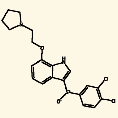 [O-][S+](c1ccc(Cl)c(Cl)c1)c1c[nH]c2c(OCCN3CCCC3)cccc12